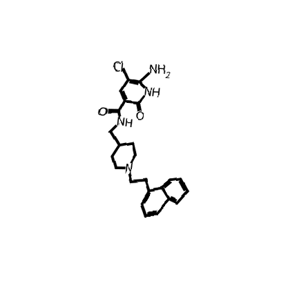 Nc1[nH]c(=O)c(C(=O)NCC2CCN(CCc3cccc4ccccc34)CC2)cc1Cl